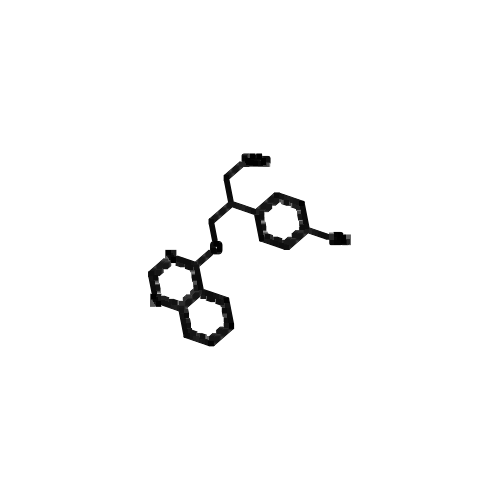 CSCC(COc1ncnc2ccccc12)c1ccc(C(C)(C)C)cc1